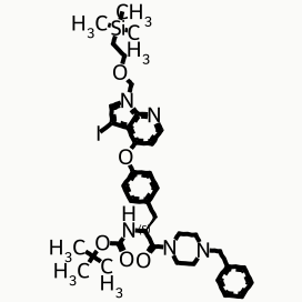 CC(C)(C)OC(=O)N[C@@H](Cc1ccc(Oc2ccnc3c2c(I)cn3COCC[Si](C)(C)C)cc1)C(=O)N1CCN(Cc2ccccc2)CC1